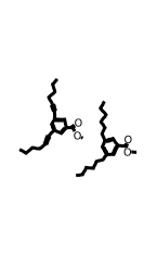 CCCCC#Cc1cc(C#CCCCC)cc(C(=O)OC)c1.CCCCCCc1cc(CCCCCC)cc(C(=O)OC)c1